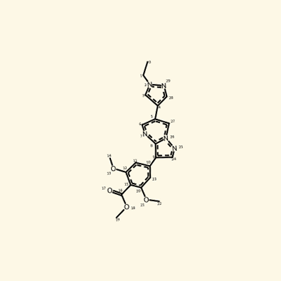 CCn1cc(-c2cnc3c(-c4cc(OC)c(C(=O)OC)c(OC)c4)cnn3c2)cn1